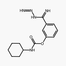 N=NNC(=N)c1cccc(OC(=O)NC2CCCCC2)c1